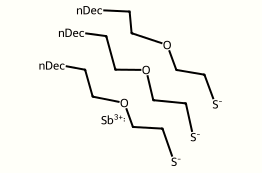 CCCCCCCCCCCCOCC[S-].CCCCCCCCCCCCOCC[S-].CCCCCCCCCCCCOCC[S-].[Sb+3]